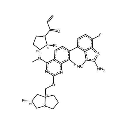 C=CC(=O)N1CC[C@@H](N(C)c2nc(OC[C@@]34CCCN3C[C@H](F)C4)nc3c(F)c(-c4ccc(F)c5sc(N)c(C#N)c45)ccc23)[C@@H]1CC